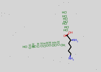 Cl.Cl.Cl.Cl.Cl.Cl.Cl.Cl.Cl.Cl.Cl.Cl.Cl.Cl.Cl.Cl.Cl.Cl.Cl.Cl.NCCCC[C@H](N)C(=O)O